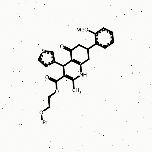 COc1ccccc1C1CC(=O)C2=C(C1)NC(C)=C(C(=O)OCCOC(C)C)C2c1ccsc1